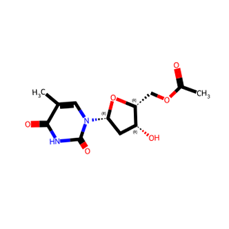 CC(=O)OC[C@H]1O[C@@H](n2cc(C)c(=O)[nH]c2=O)C[C@H]1O